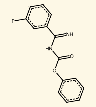 N=C(NC(=O)Oc1ccccc1)c1cc[c]c(F)c1